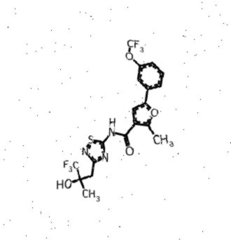 Cc1oc(-c2cccc(OC(F)(F)F)c2)cc1C(=O)Nc1nc(CC(C)(O)C(F)(F)F)ns1